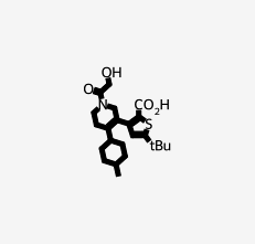 CC1CCC(C2=C(c3cc(C(C)(C)C)sc3C(=O)O)CN(C(=O)CO)CC2)CC1